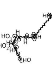 O=[C]COCCOCCNC(=O)CCC(NC(=O)CCC(NC(=O)CCCNC(=O)CCCS(=O)(=O)NC(=O)CCCCCCCCCCCCCCCc1nnn[nH]1)C(=O)O)C(=O)O